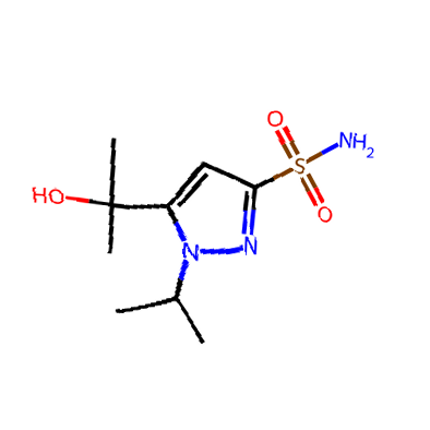 CC(C)n1nc(S(N)(=O)=O)cc1C(C)(C)O